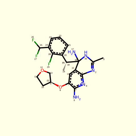 CC1=Nc2nc(N)c(O[C@H]3CCOC3)cc2C(N)([C@H](C)c2cccc(C(F)F)c2F)N1